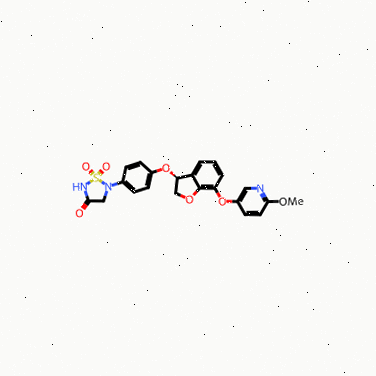 COc1ccc(Oc2cccc3c2OC[C@H]3Oc2ccc(N3CC(=O)NS3(=O)=O)cc2)cn1